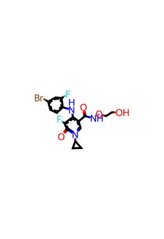 O=C(NOCCO)c1cn(C2CC2)c(=O)c(F)c1Nc1ccc(Br)cc1F